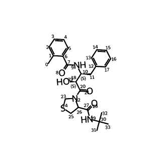 Cc1ccccc1C(=O)N[C@@H](Cc1ccccc1)[C@H](O)C(=O)N1CSCC1C(=O)NC(C)(C)C